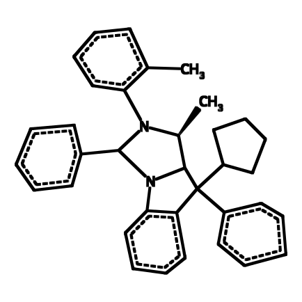 Cc1ccccc1N1C(c2ccccc2)N2c3ccccc3C(c3ccccc3)(C3CCCC3)C2[C@@H]1C